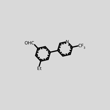 CCc1cc(C=O)cc(-c2ccc(C(F)(F)F)nc2)c1